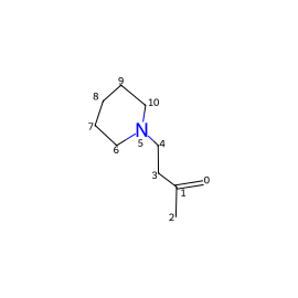 C=C(C)CCN1CCCCC1